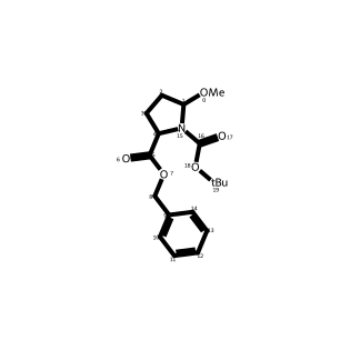 COC1CCC(C(=O)OCc2ccccc2)N1C(=O)OC(C)(C)C